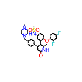 Cc1[nH]c(=O)cc(-c2ccc(CN3CCN(C)CC3)cc2)c1-c1cc(NS(C)(=O)=O)ccc1Oc1ccc(F)cc1F